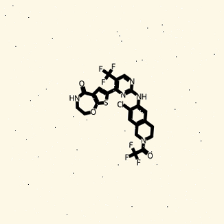 O=C1NCCOc2sc(-c3nc(Nc4cc5c(cc4Cl)CN(C(=O)C(F)(F)F)CC5)ncc3C(F)(F)F)cc21